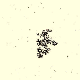 C[C@@H](OCC12CCC(CC1)OC2)[C@H](NC(=O)[C@@H]1CN(C(=O)c2cnn(Cc3ccccc3C(=O)OC(C)(C)C)c2)CC12CN(C(=O)C1(C(F)(F)F)CC1)C2)C(=O)N1CCN(C(=O)OC(C)(C)C)C(C)(C)C1